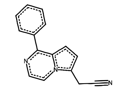 N#CCc1ccc2c(-c3ccccc3)nccn12